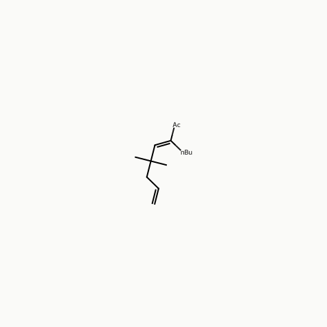 C=CCC(C)(C)/C=C(\CCCC)C(C)=O